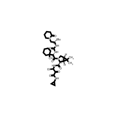 CCC(NC(=O)[C@@H]1[C@@H]2[C@H](CN1C(=O)[C@@H](NC(=O)N[C@H](CN1CCCCC1=O)C(C)(C)C)C1(C)CCCCC1)C2(C)C)C(=O)C(=O)NC1CC1